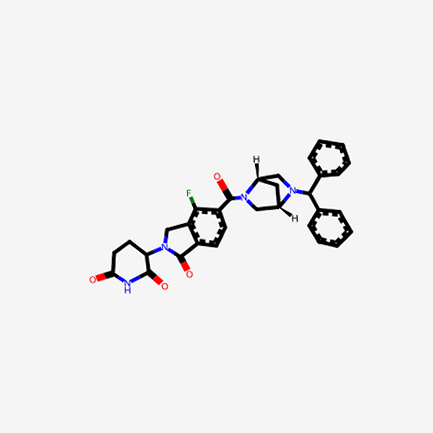 O=C1CCC(N2Cc3c(ccc(C(=O)N4C[C@@H]5C[C@H]4CN5C(c4ccccc4)c4ccccc4)c3F)C2=O)C(=O)N1